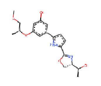 COC[C@H](C)Oc1cc(O)cc(-c2ccc(C3=N[C@H]([C@H](C)O)CO3)[nH]2)c1